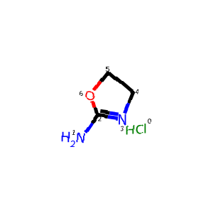 Cl.NC1=NCCO1